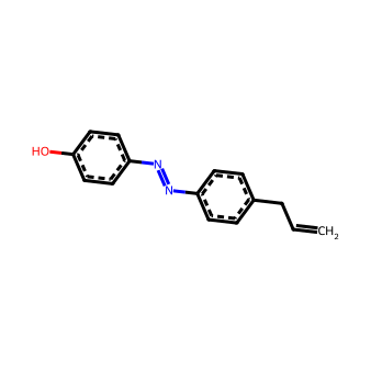 C=CCc1ccc(/N=N/c2ccc(O)cc2)cc1